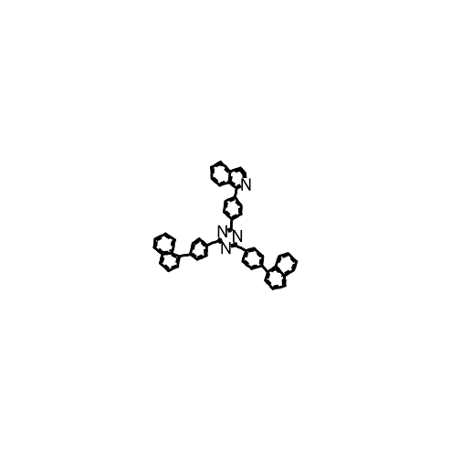 c1ccc2c(-c3ccc(-c4nc(-c5ccc(-c6cccc7ccccc67)cc5)nc(-c5ccc(-c6nccc7ccccc67)cc5)n4)cc3)cccc2c1